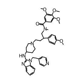 COc1ccc(C(CCN2CCC(Nc3nc4ccccc4n3Cc3ccncc3)CC2)CN(C)C(=O)c2cc(OC)c(OC)c(OC)c2)cc1